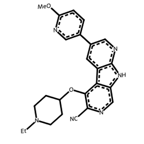 CCN1CCC(Oc2c(C#N)ncc3[nH]c4ncc(-c5ccc(OC)nc5)cc4c23)CC1